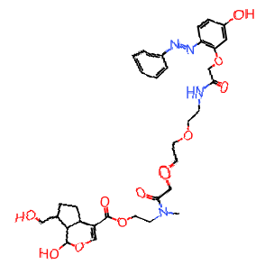 CN(CCOC(=O)C1=COC(O)C2C(CO)CCC12)C(=O)COCCOCCNC(=O)COc1cc(O)ccc1/N=N/c1ccccc1